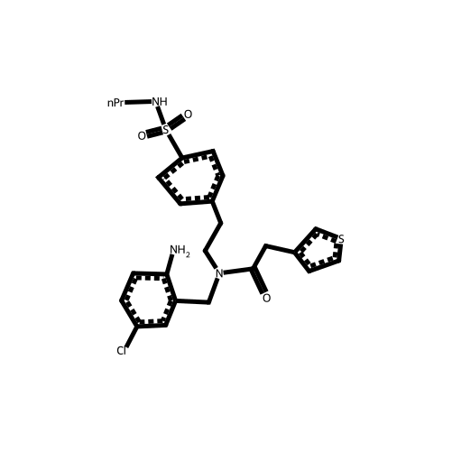 CCCNS(=O)(=O)c1ccc(CCN(Cc2cc(Cl)ccc2N)C(=O)Cc2ccsc2)cc1